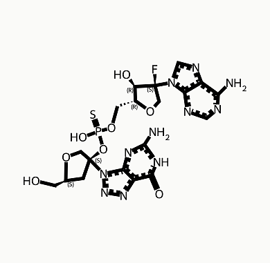 Nc1nc2c(nnn2[C@@]2(OP(O)(=S)OC[C@H]3OC[C@@](F)(n4cnc5c(N)ncnc54)[C@@H]3O)CO[C@H](CO)C2)c(=O)[nH]1